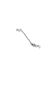 [CH2]c1ccc(OCCCCCCCCCCCCCCCCCC)cc1